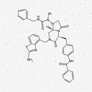 CC(C)N(C(=O)NCc1ccccc1)N1CC(=O)N2[C@@H](Cc3ccc(NC(=O)c4ccccc4)cc3)C(=O)N(Cc3cccc4sc(N)nc34)C[C@@H]21